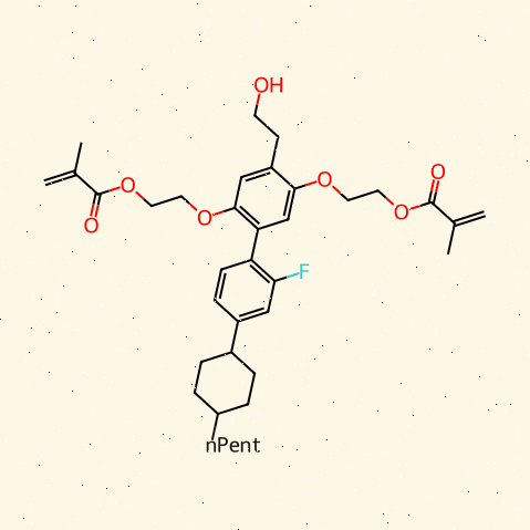 C=C(C)C(=O)OCCOc1cc(-c2ccc(C3CCC(CCCCC)CC3)cc2F)c(OCCOC(=O)C(=C)C)cc1CCO